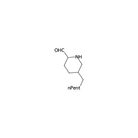 CCCCCCC1CCC(C=O)NC1